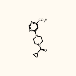 O=C(O)c1cc(N2CCN(C(=O)C3CC3)CC2)ncn1